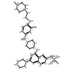 Cc1nc(N[C@H]2CC[C@@H](Oc3nc(N4CCOCC4)cc4ncc(NS(C)(=O)=O)cc34)CC2)ncc1OCCN1CCN(C)CC1